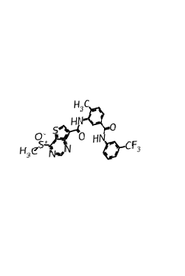 Cc1ccc(C(=O)Nc2cccc(C(F)(F)F)c2)cc1NC(=O)c1csc2c([S+](C)[O-])ncnc12